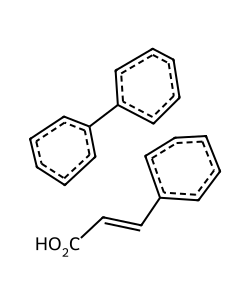 O=C(O)C=Cc1ccccc1.c1ccc(-c2ccccc2)cc1